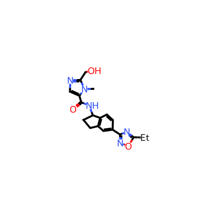 CCc1nc(-c2ccc3c(c2)CCC3NC(=O)c2cnc(CO)n2C)no1